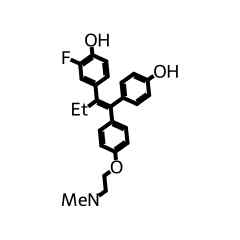 CCC(=C(c1ccc(O)cc1)c1ccc(OCCNC)cc1)c1ccc(O)c(F)c1